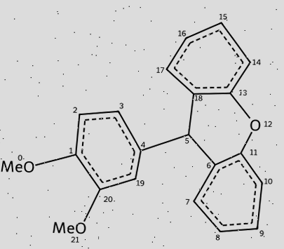 COc1ccc(C2c3ccccc3Oc3ccccc32)cc1OC